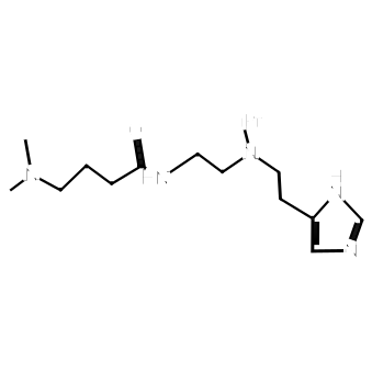 CC(C)N(CCNC(=O)CCCN(C)C)CCc1cnc[nH]1